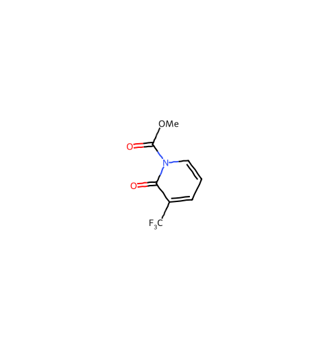 COC(=O)n1cccc(C(F)(F)F)c1=O